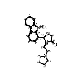 CCn1c2ccccc2c2cccc(C3SCC(=O)N3CCN3CCCC3)c21